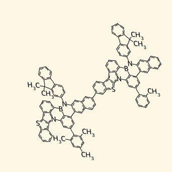 Cc1cc(C)c(-c2cc3c4c(c2)-n2c5c(cccc5c5sc6ccccc6c52)B4N(c2ccc4c(c2)C(C)(C)c2ccccc2-4)c2cc4cc(-c5ccc6c(c5)sc5c6c6cccc7c6n5-c5cc(-c6ccccc6C)cc6c5B7N(c5ccc7c(c5)C(C)(C)c5ccccc5-7)c5cc7ccccc7cc5-6)ccc4cc2-3)c(C)c1